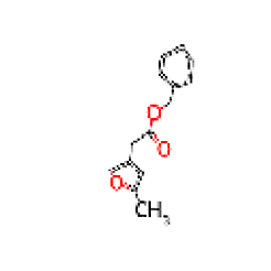 Cc1cc(CC(=O)OCc2ccccc2)co1